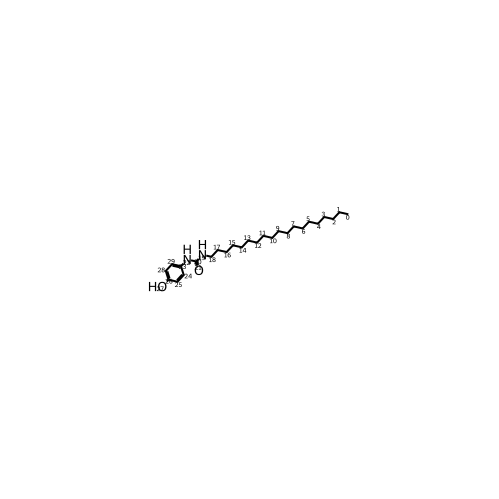 CCCCCCCCCCCCCCCCCCCNC(=O)Nc1ccc(O)cc1